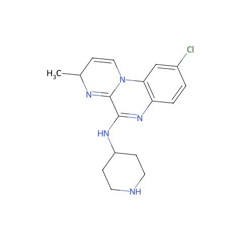 CC1C=CN2C(=N1)C(NC1CCNCC1)=Nc1ccc(Cl)cc12